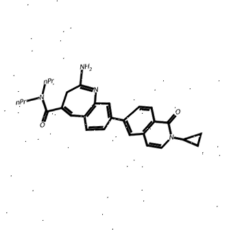 CCCN(CCC)C(=O)C1=Cc2ccc(-c3ccc4c(=O)n(C5CC5)ccc4c3)cc2N=C(N)C1